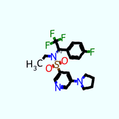 CCN([C@H](c1ccc(F)cc1)C(F)(F)F)S(=O)(=O)c1cncc(N2CCCC2)c1